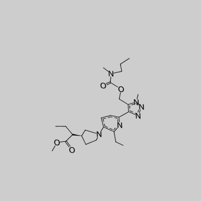 CCCN(C)C(=O)OCc1c(-c2ccc(N3CC[C@@H](C(CC)C(=O)OC)C3)c(CC)n2)nnn1C